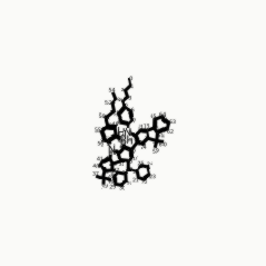 CCCCCc1ccc(Nc2cc3c(cc2-c2cc(C(c4ccccc4)c4ccccc4)c4c5cc(C(C)(C)C)ccc5n5c4c2Bc2cc(CCCCC)ccc2-5)C(C)(C)c2ccccc2-3)cc1